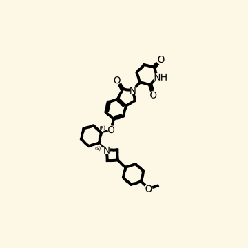 COC1CCC(C2CN([C@H]3CCCC[C@H]3Oc3ccc4c(c3)CN(C3CCC(=O)NC3=O)C4=O)C2)CC1